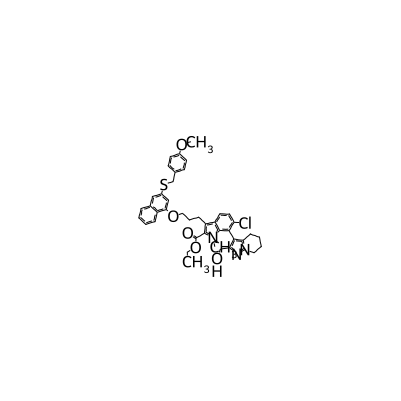 CCOC(=O)c1c(CCCOc2cc(SCc3ccc(OC)cc3)cc3ccccc23)c2ccc(Cl)c(-c3c(CO)nn4c3CCCC4)c2n1C